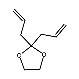 C=CCC1(CC=C)OCCO1